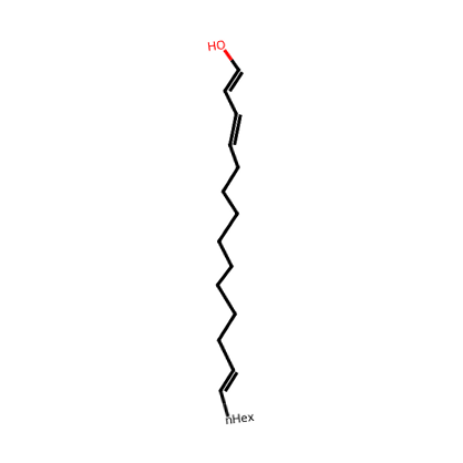 CCCCCCC=CCCCCCCCCC=CC=CO